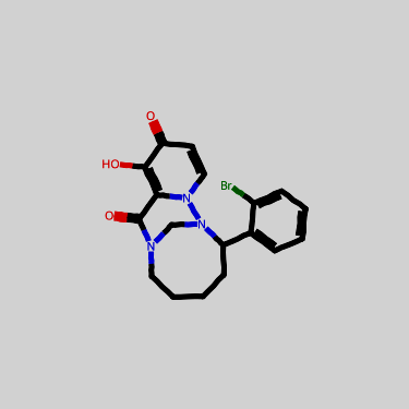 O=C1c2c(O)c(=O)ccn2N2CN1CCCCC2c1ccccc1Br